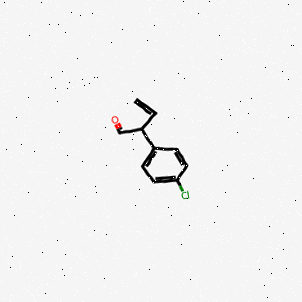 C=CC(C=O)c1ccc(Cl)cc1